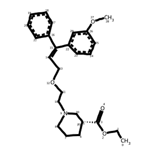 CCOC(=O)[C@@H]1CCCN(CCOCC=C(c2ccccc2)c2cccc(OC)c2)C1